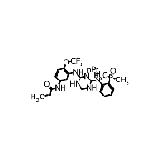 C=CC(=O)Nc1ccc(OC(F)(F)F)c(NC2NCNC(Nc3ccccc3P(C)(C)=O)N2CCC)c1